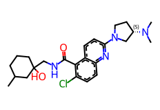 CC1CCCC(O)(CNC(=O)c2c(Cl)ccc3nc(N4CC[C@H](N(C)C)C4)ccc23)C1